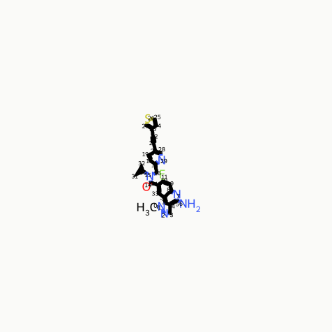 Cn1ncc2c(N)nc3cc(F)c(C(=O)N(Cc4ccc(C#Cc5ccsc5)cn4)C4CC4)cc3c21